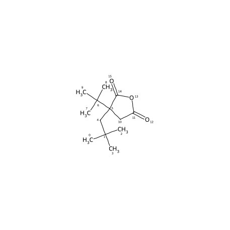 CC(C)(C)CC1(C(C)(C)C)CC(=O)OC1=O